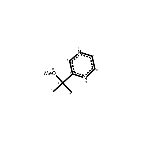 COC(C)(C)c1cnccn1